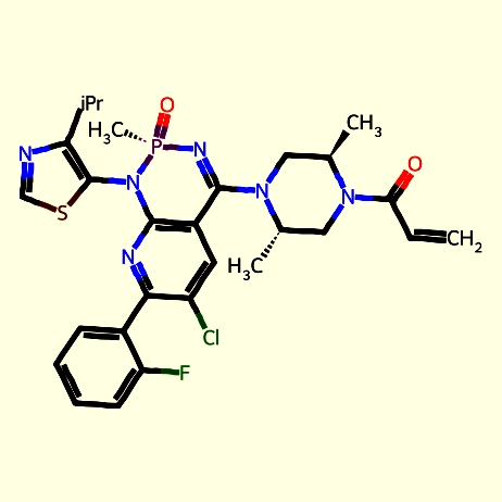 C=CC(=O)N1C[C@H](C)N(C2=N[P@](C)(=O)N(c3scnc3C(C)C)c3nc(-c4ccccc4F)c(Cl)cc32)C[C@H]1C